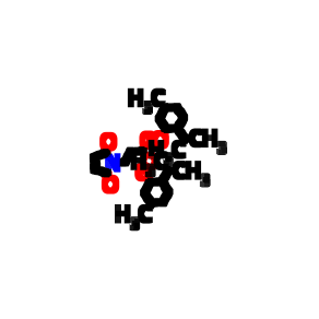 CC1CCC(C(C)C)C(OOC(CCN2C(=O)C=CC2=O)OOC2CC(C)CCC2C(C)C)C1